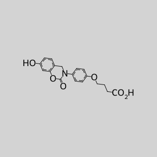 O=C(O)CCCOc1ccc(N2Cc3ccc(O)cc3OC2=O)cc1